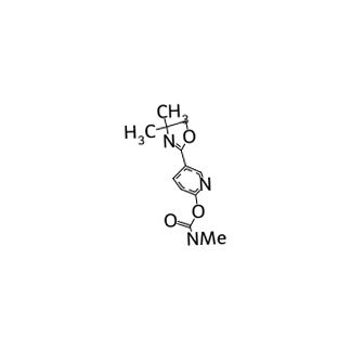 CNC(=O)Oc1ccc(C2=NC(C)(C)CO2)cn1